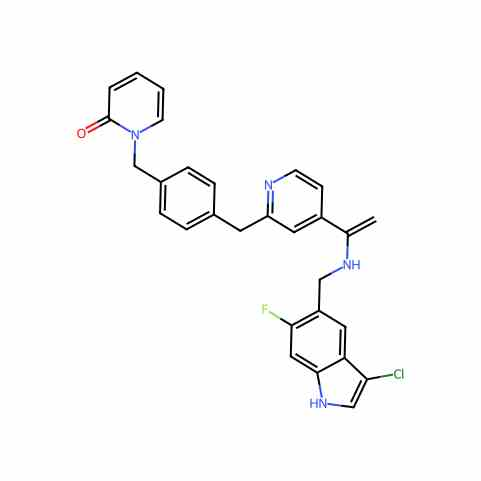 C=C(NCc1cc2c(Cl)c[nH]c2cc1F)c1ccnc(Cc2ccc(Cn3ccccc3=O)cc2)c1